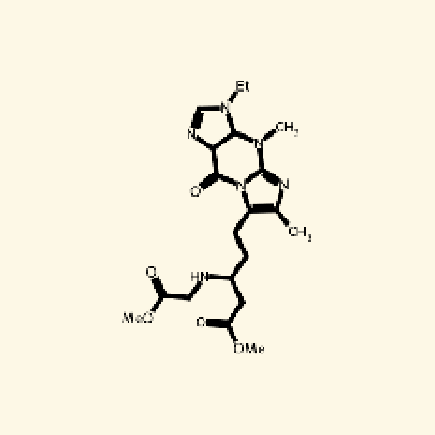 CCN1C=NC2C(=O)n3c(nc(C)c3CCC(CC(=O)OC)NCC(=O)OC)N(C)C21